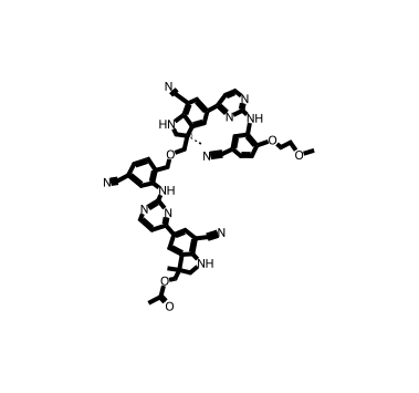 COCCOc1ccc(C#N)cc1Nc1nccc(-c2cc(C#N)c3c(c2)[C@@](C)(COCc2ccc(C#N)cc2Nc2nccc(-c4cc(C#N)c5c(c4)C(C)(COC(C)=O)CN5)n2)CN3)n1